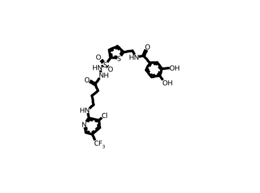 O=C(CCCNc1ncc(C(F)(F)F)cc1Cl)NNS(=O)(=O)c1ccc(CNC(=O)c2ccc(O)c(O)c2)s1